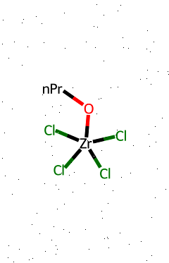 CCC[O][Zr]([Cl])([Cl])([Cl])[Cl]